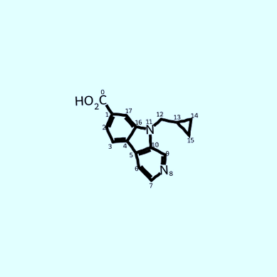 O=C(O)c1ccc2c3ccncc3n(CC3CC3)c2c1